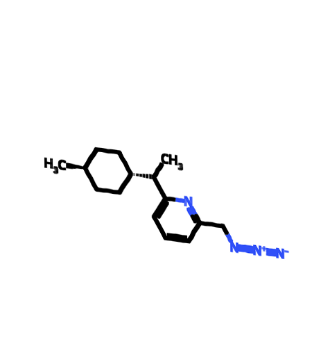 CC(c1cccc(CN=[N+]=[N-])n1)[C@H]1CC[C@H](C)CC1